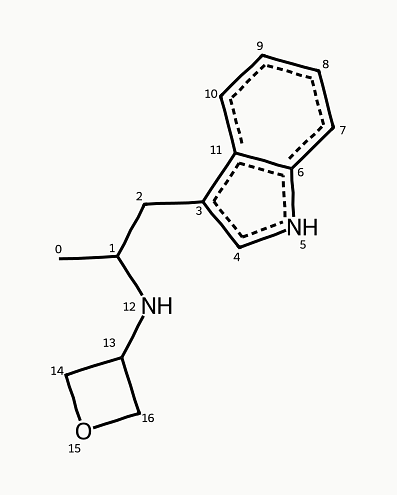 CC(Cc1c[nH]c2ccccc12)NC1COC1